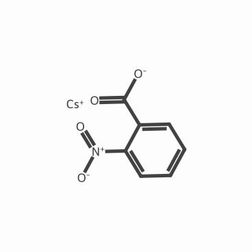 O=C([O-])c1ccccc1[N+](=O)[O-].[Cs+]